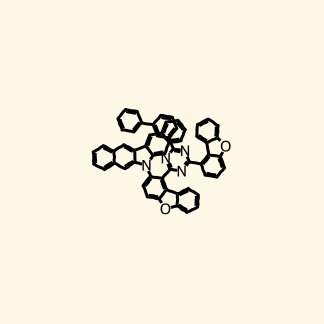 c1ccc(-c2cccc(-c3nc(-c4cccc5oc6ccccc6c45)nc(-c4c(-n5c6cc7ccccc7cc6c6cc7ccccc7cc65)ccc5oc6ccccc6c45)n3)c2)cc1